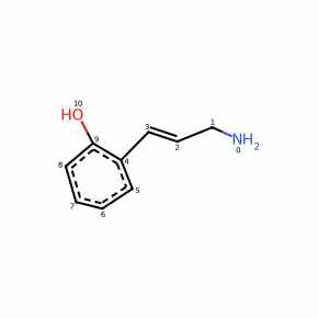 NC/C=C/c1ccccc1O